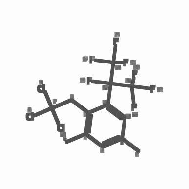 Cc1[c]c(C)c(CC(Cl)(Cl)Cl)c(C(F)(C(F)(F)F)C(F)(F)F)c1